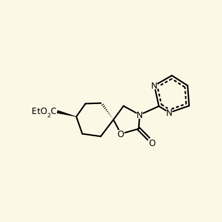 CCOC(=O)[C@H]1CC[C@]2(CC1)CN(c1ncccn1)C(=O)O2